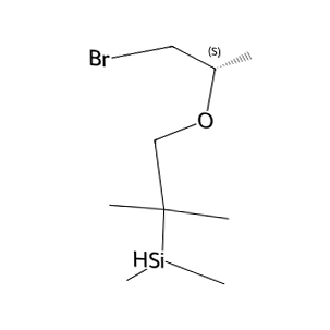 C[C@@H](CBr)OCC(C)(C)[SiH](C)C